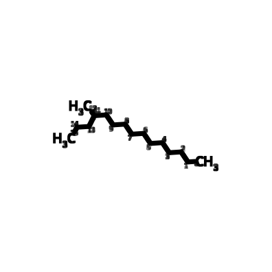 CCCCCCCCCCC[C](C)CCC